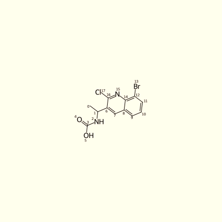 CC(NC(=O)O)c1cc2cccc(Br)c2nc1Cl